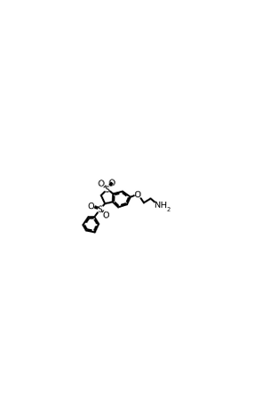 NCCOc1ccc2c(c1)S(=O)(=O)CC2S(=O)(=O)c1ccccc1